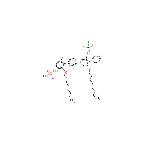 CCCCCCCCOc1cccc(I)c1-c1ccccc1.CCCCCCCCOc1cccc(I)c1-c1ccccc1.FC(F)(F)F.O=S(=O)(O)O